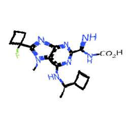 C[C@@H](Nc1nc(C(=N)NC(=O)O)nc2nc(C3(F)CCC3)n(C)c12)C1CCC1